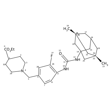 CCOC(=O)C1CCN(Cc2ccc(NC(=O)NC34CC5C[C@@](C)(C3)C[C@](C)(C5)C4)c(F)c2)CC1